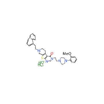 COc1ccccc1N1CCN(CCn2cnc3sc4c(c3c2=O)CCN(CCc2cccc3ccccc23)C4)CC1.Cl.Cl